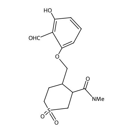 CNC(=O)C1CS(=O)(=O)CCC1COc1cccc(O)c1C=O